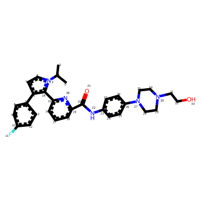 CC(C)n1ccc(-c2ccc(F)cc2)c1-c1cccc(C(=O)Nc2ccc(N3CCN(CCO)CC3)cc2)n1